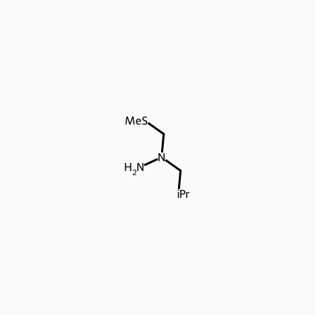 CSCN(N)CC(C)C